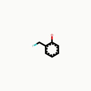 [O]c1ccccc1CF